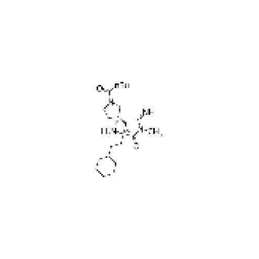 CCCCC(=O)N1CC[C@H](C[C@@](N)(CCC2CCCCC2)C(=O)N(C)C=N)C1